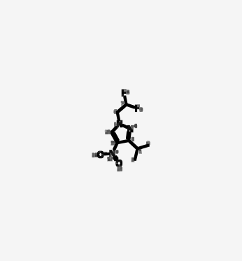 CC(C)c1nn(CC(F)F)cc1[N+](=O)[O-]